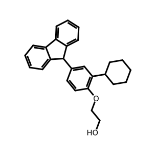 OCCOc1ccc(C2c3ccccc3-c3ccccc32)cc1C1CCCCC1